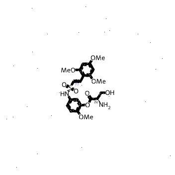 COc1cc(OC)c(/C=C/S(=O)(=O)Nc2ccc(OC)c(OC(=O)[C@@H](N)CO)c2)c(OC)c1